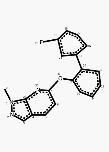 Cn1ncc2ccc(Oc3ccccc3-c3cccc(F)c3)nc21